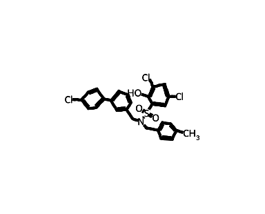 Cc1ccc(CN(Cc2cccc(-c3ccc(Cl)cc3)c2)S(=O)(=O)c2cc(Cl)cc(Cl)c2O)cc1